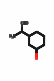 CC(C=O)C1CCCC(=O)C1